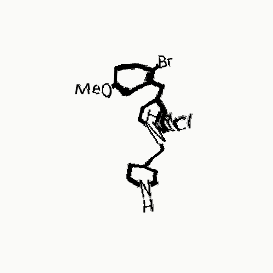 COc1ccc(Br)c(CC2CCN(CCC3CCNCC3)CC2)c1.Cl.Cl